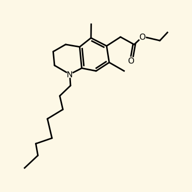 CCCCCCCCN1CCCc2c1cc(C)c(CC(=O)OCC)c2C